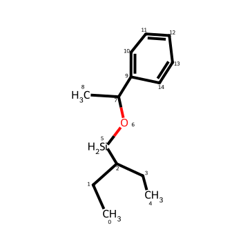 CCC(CC)[SiH2]OC(C)c1ccccc1